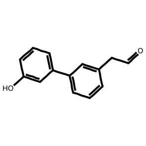 O=CCc1cccc(-c2cccc(O)c2)c1